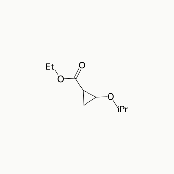 CCOC(=O)C1CC1OC(C)C